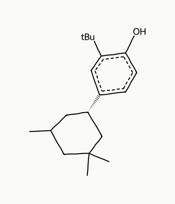 CC1C[C@H](c2ccc(O)c(C(C)(C)C)c2)CC(C)(C)C1